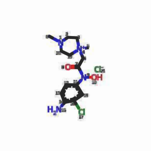 CN1CC[N+](C)(CC(=O)N(O)c2ccc(N)c(Cl)c2)CC1.[Cl-]